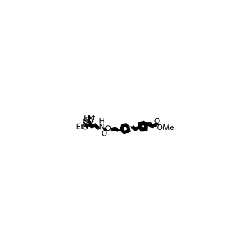 CCO[Si](CCCNC(=O)OCCC[C@H]1CC[C@H](CCc2ccc(C=CC(=O)OC)cc2)CC1)(OCC)OCC